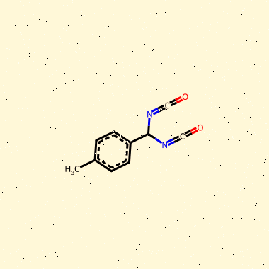 Cc1ccc(C(N=C=O)N=C=O)cc1